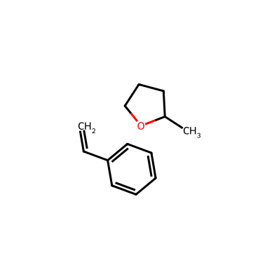 C=Cc1ccccc1.CC1CCCO1